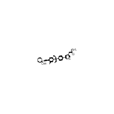 CCC(CC)(c1ccc(-c2cncc(CC(=O)O)c2)cc1)c1ccc(C#CC2(O)CCCCC2)c(C)c1